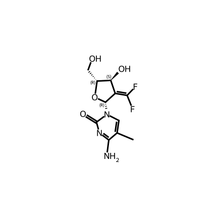 Cc1cn([C@@H]2O[C@H](CO)[C@@H](O)C2=C(F)F)c(=O)nc1N